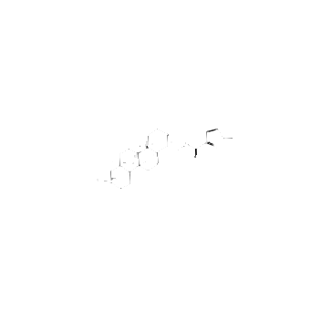 Cn1ccc(C(=O)NC[C@H]2CCC[C@H]3[C@@H]4CC[C@@H]5C[C@](C)(O)CC[C@@H]5[C@H]4CC[C@]23C)n1